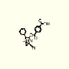 N#CC1(NC(OC(=O)c2ccc(C(=O)O)cc2)C(=O)c2ccccc2)CC1